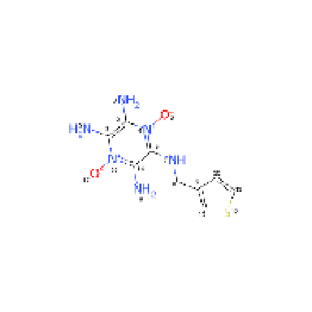 Nc1c(N)[n+]([O-])c(NCc2ccsc2)c(N)[n+]1[O-]